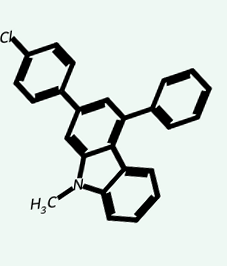 Cn1c2ccccc2c2c(-c3ccccc3)cc(-c3ccc(Cl)cc3)cc21